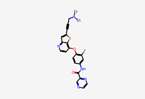 CCN(CC)CC#Cc1cc2nccc(Oc3ccc(NC(=O)c4cnccn4)cc3F)c2s1